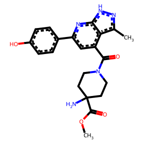 COC(=O)C1(N)CCN(C(=O)c2cc(-c3ccc(O)cc3)nc3[nH]nc(C)c23)CC1